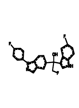 OC(CF)(c1ccc2c(cnn2-c2ccc(F)cc2)c1)c1c[nH]c2ccc(F)cc12